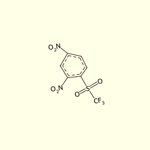 O=[N+]([O-])c1ccc(S(=O)(=O)C(F)(F)F)c([N+](=O)[O-])c1